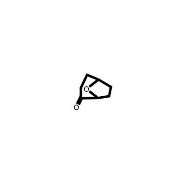 O=C1CCC2CCC1O2